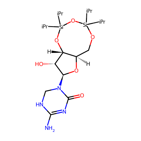 CC(C)[Si]1(C(C)C)OC[C@H]2O[C@@H](N3CNC(N)=NC3=O)[C@H](O)[C@@H]2O[Si](C(C)C)(C(C)C)O1